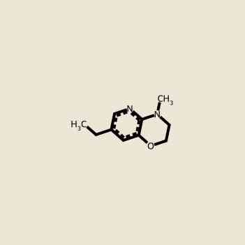 CCc1cnc2c(c1)OCCN2C